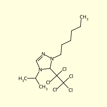 CCCCCCN1N=CN(C(C)C)C1C(Cl)(Cl)C(Cl)(Cl)Cl